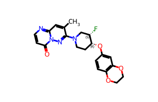 Cc1cc2nccc(=O)n2nc1N1CC[C@@H](Oc2ccc3c(c2)OCCO3)[C@@H](F)C1